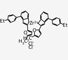 CCc1ccc(-c2cccc3c2C=C(c2ccc(C)o2)[CH]3[Zr+2][CH]2C(c3ccc(C)o3)=Cc3c(-c4ccc(CC)cc4)cccc32)cc1.[Cl-].[Cl-]